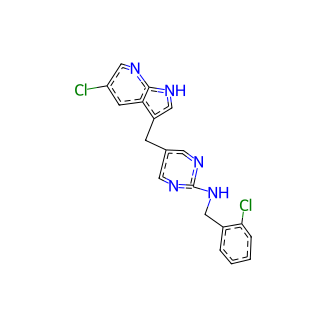 Clc1cnc2[nH]cc(Cc3cnc(NCc4ccccc4Cl)nc3)c2c1